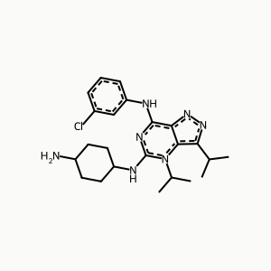 CC(C)c1nnc2c(Nc3cccc(Cl)c3)nc(NC3CCC(N)CC3)n(C(C)C)c1-2